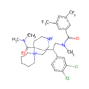 CN(C)C(=O)C1([N+]2(CCC(CN(C)C(=O)c3cc(C(F)(F)F)cc(C(F)(F)F)c3)c3ccc(Cl)c(Cl)c3)CCCCC2)CCNCC1